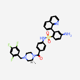 C[C@@H]1CN(Cc2cc(F)c(F)cc2F)CCN1C(=O)c1ccc(NS(=O)(=O)c2ccc(N)cc2-c2cccc3cccnc23)cc1